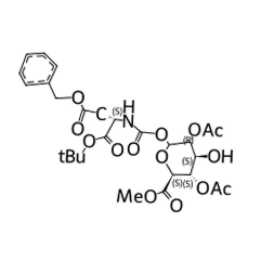 COC(=O)[C@H]1OC(OC(=O)N[C@@H](CC(=O)OCc2ccccc2)C(=O)OC(C)(C)C)[C@H](OC(C)=O)[C@@H](O)[C@@H]1OC(C)=O